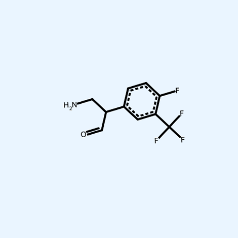 NCC(C=O)c1ccc(F)c(C(F)(F)F)c1